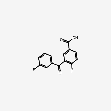 O=C(O)c1ccc(F)c(C(=O)c2cccc(F)c2)c1